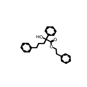 O=C(OCCc1ccccc1)C(O)(CCCc1ccccc1)c1ccccc1